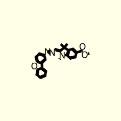 COC(=O)c1ccc2c(c1)C(C)(C)C(=CN=Nc1ccc3oc4ccccc4c3c1)N2C